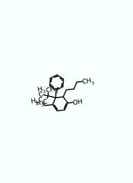 CCCCC1C(O)=CC=C(CC)C1(c1ccccc1)C(C)(C)C